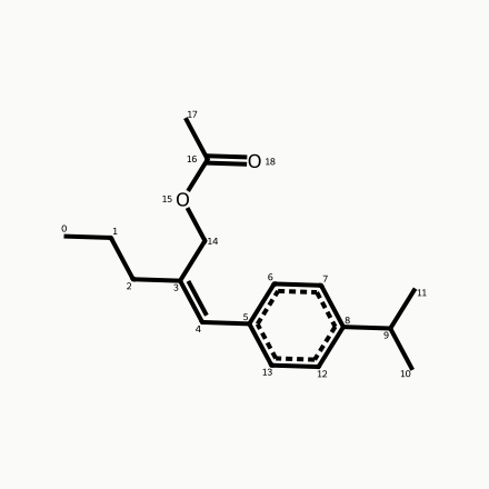 CCCC(=Cc1ccc(C(C)C)cc1)COC(C)=O